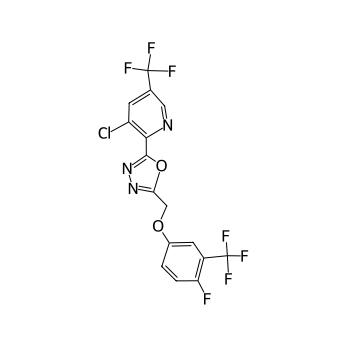 Fc1ccc(OCc2nnc(-c3ncc(C(F)(F)F)cc3Cl)o2)cc1C(F)(F)F